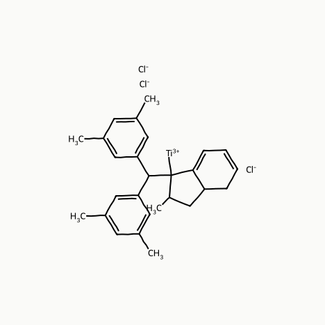 Cc1cc(C)cc(C(c2cc(C)cc(C)c2)[C]2([Ti+3])C3=CC=CCC3CC2C)c1.[Cl-].[Cl-].[Cl-]